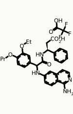 CCOc1cc(C(Nc2ccc3c(N)nccc3c2)C(=O)N[C@@H](CC(=O)O)c2ccccc2)ccc1OC(C)C.O=C(O)C(F)(F)F